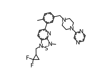 Cc1ccc(CN2CCN(c3cnccn3)CC2)cc1-c1ccc2c(n1)N(C)SN2CC1CC1(F)F